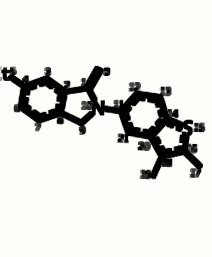 C=C1c2cc(CC)ccc2CN1c1ccc2sc(C)c(C)c2c1